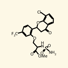 COC(=O)C(COc1cc(C(F)(F)F)ccc1C1CC(=O)c2cccc(Cl)c2O1)NS(N)(=O)=O